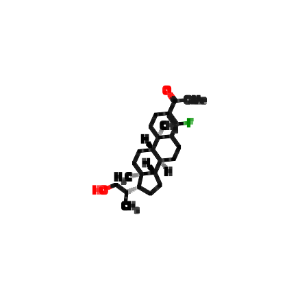 COC(=O)C1=C(F)C2CC[C@H]3[C@@H]4CC[C@H](C(C)CO)[C@@]4(C)CC[C@@H]3[C@@]2(C)CC1